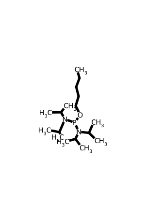 CCCCCOP(N(C(C)C)C(C)C)N(C(C)C)C(C)C